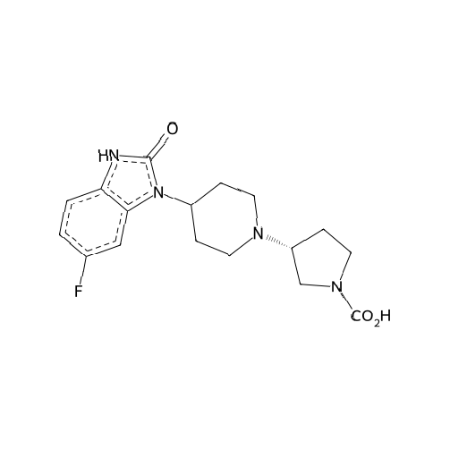 O=C(O)N1CC[C@@H](N2CCC(n3c(=O)[nH]c4ccc(F)cc43)CC2)C1